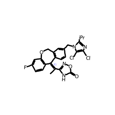 C/C(=C1/c2ccc(Cn3c(C(C)C)nc(Cl)c3Cl)cc2COc2cc(F)ccc21)c1noc(=O)[nH]1